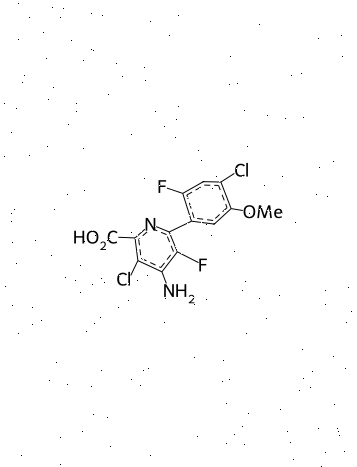 COc1cc(-c2nc(C(=O)O)c(Cl)c(N)c2F)c(F)cc1Cl